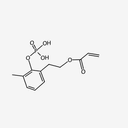 C=CC(=O)OCCc1cccc(C)c1OP(=O)(O)O